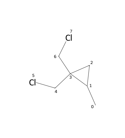 CC1CC1(CCl)CCl